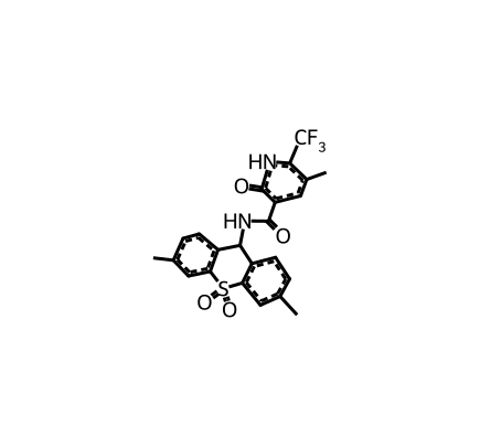 Cc1ccc2c(c1)S(=O)(=O)c1cc(C)ccc1C2NC(=O)c1cc(C)c(C(F)(F)F)[nH]c1=O